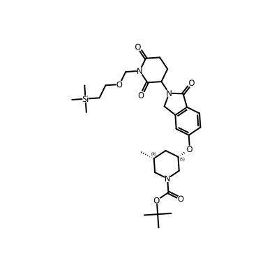 C[C@@H]1C[C@H](Oc2ccc3c(c2)CN(C2CCC(=O)N(COCC[Si](C)(C)C)C2=O)C3=O)CN(C(=O)OC(C)(C)C)C1